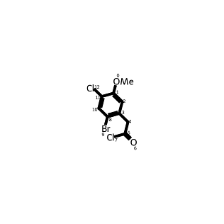 COc1cc(CC(=O)Cl)c(Br)cc1Cl